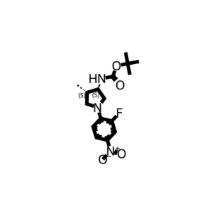 C[C@H]1CN(c2ccc([N+](=O)[O-])cc2F)C[C@H]1NC(=O)OC(C)(C)C